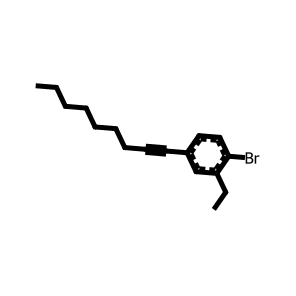 CCCCCCCC#Cc1ccc(Br)c(CC)c1